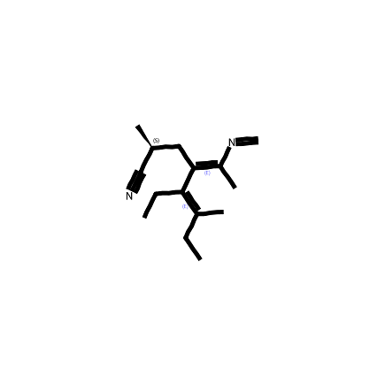 C=N/C(C)=C(C[C@H](C)C#N)/C(CC)=C(\C)CC